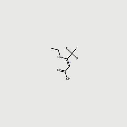 CCN/C(=C\C(=O)O)C(F)(F)F